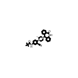 C[C@@H]1CN(C2c3ccccc3NC(=O)c3ccccc32)CCN1c1ccc(NC(=O)C(C)(C)C)cc1C#N